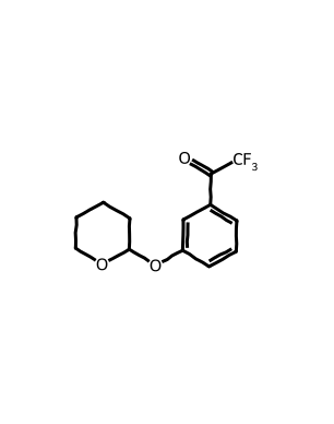 O=C(c1cccc(OC2CCCCO2)c1)C(F)(F)F